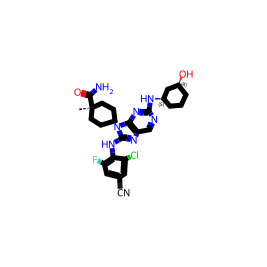 C[C@]1(C(N)=O)CC[C@H](n2c(Nc3c(F)cc(C#N)cc3Cl)nc3cnc(N[C@H]4CCC[C@@H](O)C4)nc32)CC1